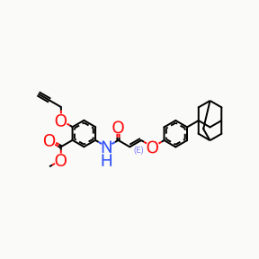 C#CCOc1ccc(NC(=O)/C=C/Oc2ccc(C34CC5CC(CC(C5)C3)C4)cc2)cc1C(=O)OC